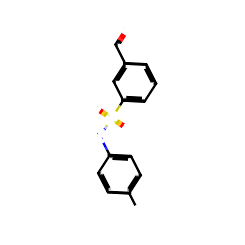 Cc1ccc(NS(=O)(=O)c2cccc(C=O)c2)cc1